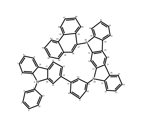 c1ccc(-n2c3ccccc3c3ccc(-c4cccc(-n5c6ccccc6c6cc7c8ccccc8n(-c8cc9ccccc9c9ccccc89)c7cc65)c4)cc32)cc1